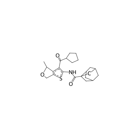 CC1OCc2sc(NC(=O)C34CC5CC(CC3C5)C4)c(C(=O)C3CCCC3)c21